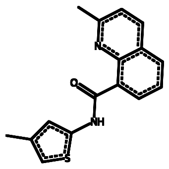 Cc1csc(NC(=O)c2cccc3ccc(C)nc23)c1